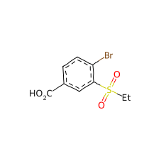 CCS(=O)(=O)c1cc(C(=O)O)ccc1Br